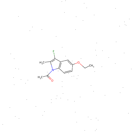 CCOc1ccc2c(c1)c(F)c(C)n2C(C)=O